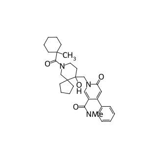 CNC(=O)c1cn(CC2(O)CCN(C(=O)C3(C)CCCCC3)CC23CCCC3)c(=O)cc1-c1ccccc1